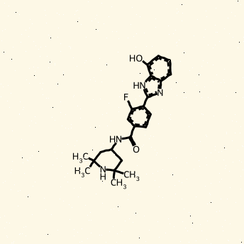 CC1(C)CC(NC(=O)c2ccc(-c3nc4cccc(O)c4[nH]3)c(F)c2)CC(C)(C)N1